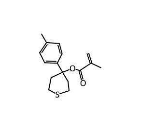 C=C(C)C(=O)OC1(c2ccc(C)cc2)CCSCC1